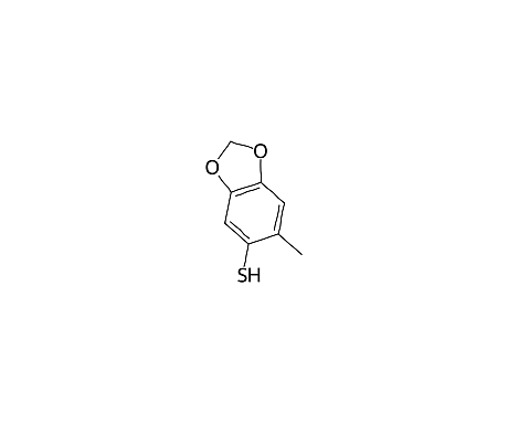 Cc1cc2c(cc1S)OCO2